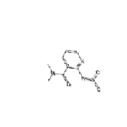 CN(C)C(=O)c1cccnc1N=S(=O)=O